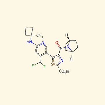 CCOC(=O)c1nc(C(=O)N2[C@H]3CC[C@H]2CC3)c(-c2cnc(NC3(C)CCC3)cc2C(F)F)s1